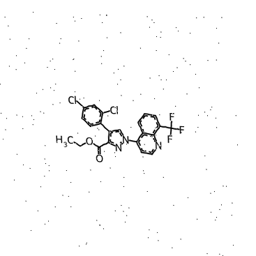 CCOC(=O)c1nn(-c2ccnc3c(C(F)(F)F)cccc23)cc1-c1ccc(Cl)cc1Cl